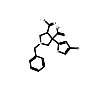 O=C(O)C1CN(Cc2ccccc2)CC1(C(=O)O)c1cc(Br)cs1